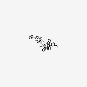 COc1ccc2c(c1)CN(CC1(C3CCN(S(=O)(=O)c4ccc(-c5ccoc5)s4)CC3)NC(=O)NC1=O)C2=O